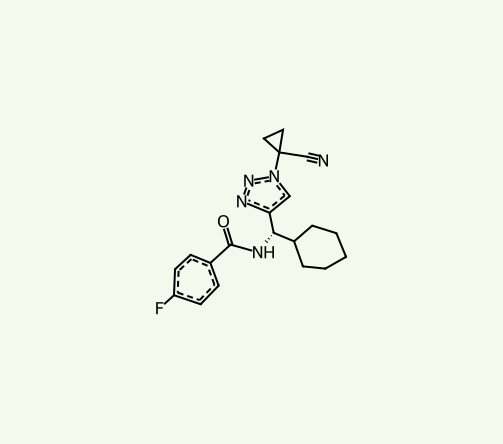 N#CC1(n2cc([C@@H](NC(=O)c3ccc(F)cc3)C3CCCCC3)nn2)CC1